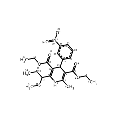 CCOC(=O)C1=C(C)NC(C(SC)SC)=C(C(=O)OCC)C1c1cccc([N+](=O)[O-])c1